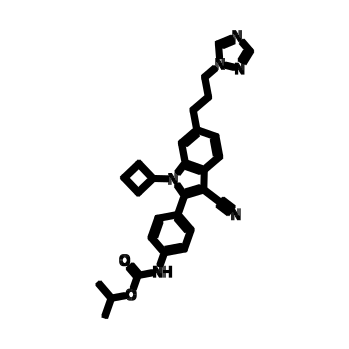 CC(C)OC(=O)Nc1ccc(-c2c(C#N)c3ccc(CCCn4cncn4)cc3n2C2CCC2)cc1